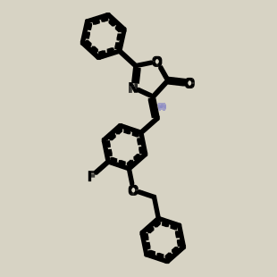 O=C1OC(c2ccccc2)=N/C1=C\c1ccc(F)c(OCc2ccccc2)c1